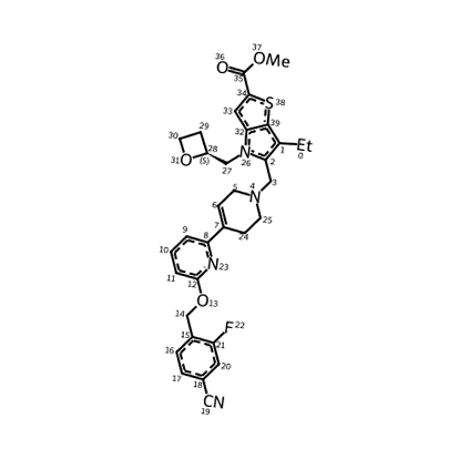 CCc1c(CN2CC=C(c3cccc(OCc4ccc(C#N)cc4F)n3)CC2)n(C[C@@H]2CCO2)c2cc(C(=O)OC)sc12